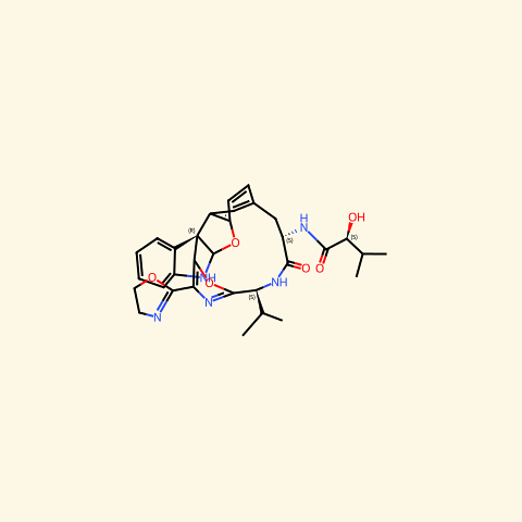 CC(C)[C@H](O)C(=O)N[C@H]1Cc2ccc3c(c2)[C@@]2(c4ccccc4NC2O3)c2oc(nc2C2=NCCO2)[C@H](C(C)C)NC1=O